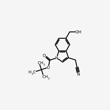 CC(C)(C)OC(=O)n1cc(CC#N)c2cc(CO)ccc21